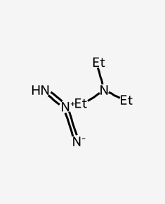 CCN(CC)CC.[N-]=[N+]=N